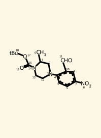 CC1CN(c2ccc([N+](=O)[O-])cc2C=O)CCN1C(=O)OC(C)(C)C